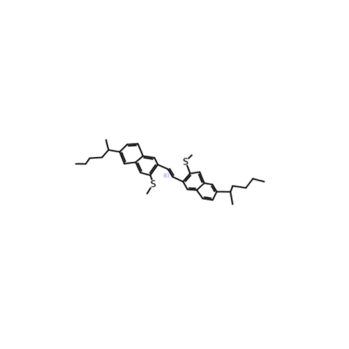 CCCCC(C)c1ccc2cc(/C=C/c3cc4ccc(C(C)CCCC)cc4cc3SC)c(SC)cc2c1